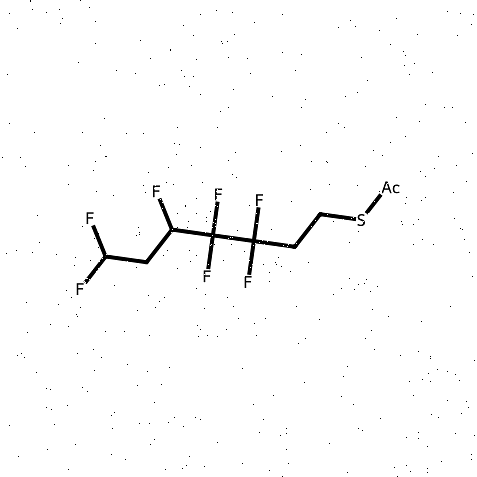 CC(=O)SCCC(F)(F)C(F)(F)C(F)CC(F)F